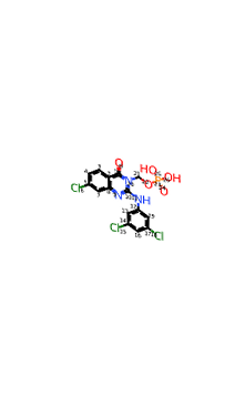 O=c1c2ccc(Cl)cc2nc(Nc2cc(Cl)cc(Cl)c2)n1COP(=O)(O)O